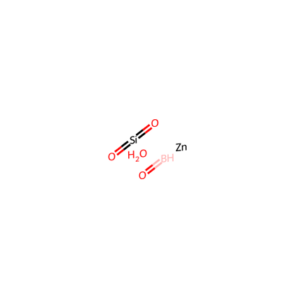 B=O.O.O=[Si]=O.[Zn]